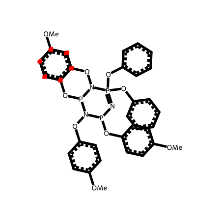 COc1ccc(ON2P(Oc3ccc(OC)cc3)N=P(Oc3ccccc3)(Oc3ccccc3)N(Oc3ccccc3)P2Oc2ccc(OC)cc2)cc1